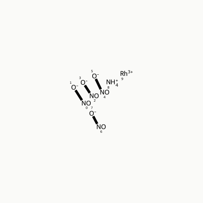 O=N[O-].O=N[O-].O=N[O-].O=N[O-].[NH4+].[Rh+3]